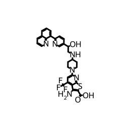 Nc1c(C(=O)O)sc2nc(N3CCC(NCC(O)c4ccc(-c5cccc6cccnc56)nc4)CC3)cc(C(F)(F)F)c12